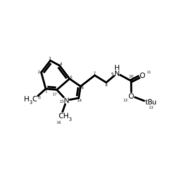 Cc1cccc2c(CCNC(=O)OC(C)(C)C)cn(C)c12